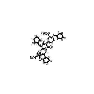 Cc1c(N2CCN(Cc3ccccc3)C(CO)C2)c(=O)n(C[C@H](NC(=O)OC(C)(C)C)c2ccccc2)c(=O)n1Cc1c(F)cccc1F